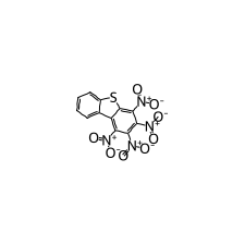 O=[N+]([O-])c1c([N+](=O)[O-])c([N+](=O)[O-])c2c(sc3ccccc32)c1[N+](=O)[O-]